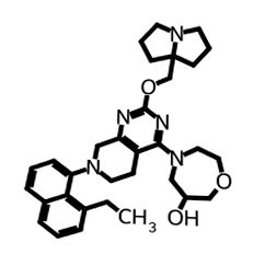 CCc1cccc2cccc(N3CCc4c(nc(OCC56CCCN5CCC6)nc4N4CCOCC(O)C4)C3)c12